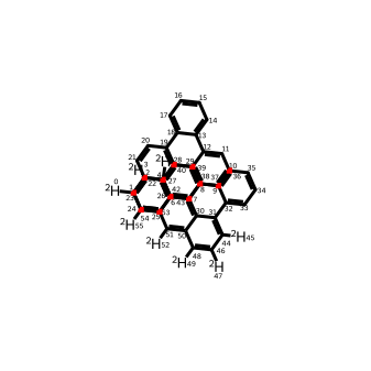 [2H]c1c([2H])c([2H])c2c(-c3cccc4c5ccccc5c5ccc6ccccc6c5c34)c3c(-c4ccccc4-c4ccccc4)c([2H])c([2H])c([2H])c3c([2H])c2c1[2H]